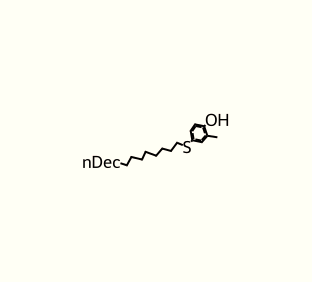 CCCCCCCCCCCCCCCCCCSc1ccc(O)c(C)c1